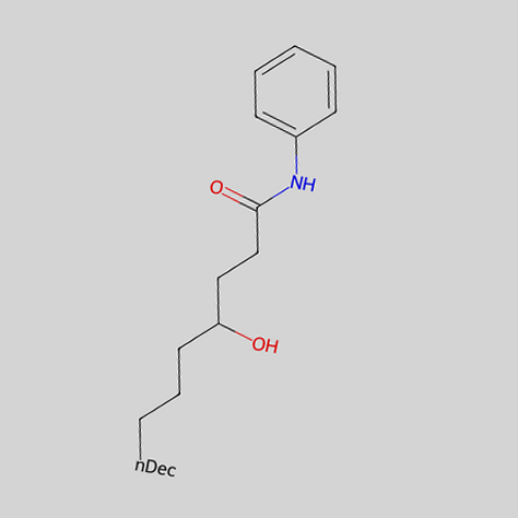 CCCCCCCCCCCCCC(O)CCC(=O)Nc1ccccc1